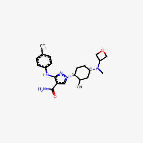 CN(C1COC1)[C@H]1CC[C@@H](n2cc(C(N)=O)c(Nc3ccc(C(F)(F)F)cc3)n2)C(C#N)C1